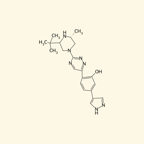 C[C@@H]1CN(c2ncc(-c3ccc(-c4cn[nH]c4)cc3O)nn2)CC(C(C)(C)C)N1